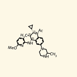 COc1cccc(N[C@H]2c3cc(N4CCNC(C)C4)ccc3N(C(C)=O)[C@@H](C3CC3)[C@@H]2C)n1